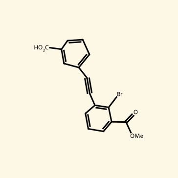 COC(=O)c1cccc(C#Cc2cccc(C(=O)O)c2)c1Br